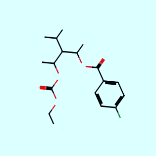 CCOC(=O)OC(C)C(C(C)C)C(C)OC(=O)c1ccc(Cl)cc1